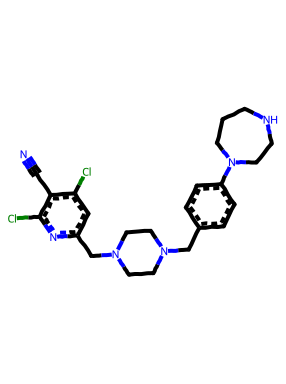 N#Cc1c(Cl)cc(CN2CCN(Cc3ccc(N4CCCNCC4)cc3)CC2)nc1Cl